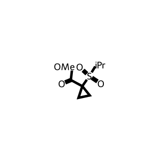 COC(=O)C1(S(=O)(=O)C(C)C)CC1